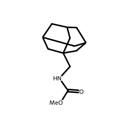 COC(=O)NCC12CC3CC(CC(C3)C1)C2